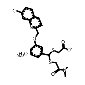 CN(C)C(=O)CSC(SCC(=O)[O-])c1cccc(OCc2ccc3ccc(Cl)cc3n2)c1.O.[Na+]